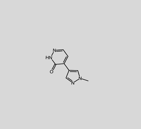 Cn1cc(-c2ccn[nH]c2=O)cn1